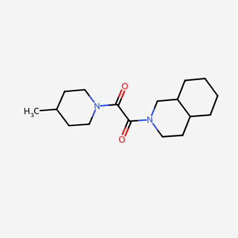 CC1CCN(C(=O)C(=O)N2CCC3CCCCC3C2)CC1